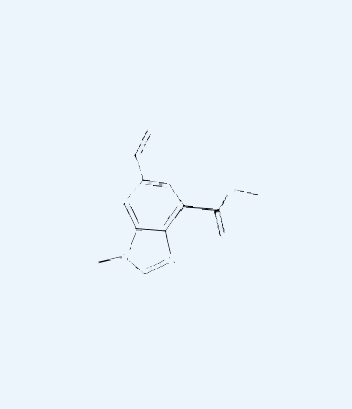 C=Cc1cc(C(=O)OC)c2ncn(C)c2c1